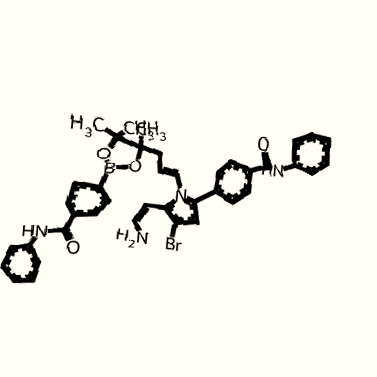 CC1(C)OB(c2ccc(C(=O)Nc3ccccc3)cc2)OC1(C)CC=Cn1c(-c2ccc(C(=O)Nc3ccccc3)cc2)cc(Br)c1/C=C\N